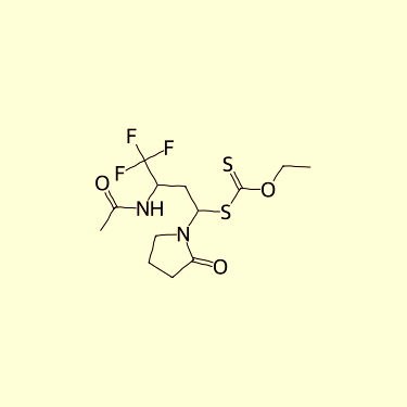 CCOC(=S)SC(CC(NC(C)=O)C(F)(F)F)N1CCCC1=O